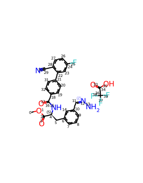 COC(=O)[C@H](Cc1cccc(/C=N\N)c1)NC(=O)c1ccc(-c2cc(F)ccc2C#N)cc1.O=C(O)C(F)(F)F